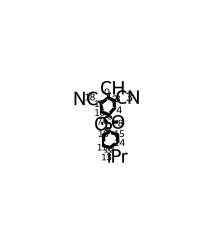 Cc1c(C#N)cc(S(=O)(=O)c2ccc(C(C)C)cc2)cc1C#N